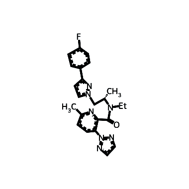 CCN(C(=O)c1nc(C)ccc1-n1nccn1)[C@@H](C)Cn1ccc(-c2ccc(F)cc2)n1